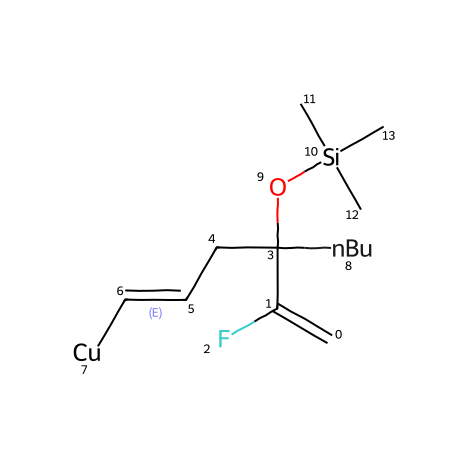 C=C(F)C(C/C=[CH]/[Cu])(CCCC)O[Si](C)(C)C